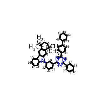 CC1(C)CCC(C)(C)c2cc3c(cc21)c1ccccc1n3-c1cccc(-c2nc(-c3ccccc3)nc(-c3ccc(-c4ccccc4)cc3)n2)c1